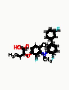 CCC(Oc1ccc(C)c(N(C)c2cc(-c3cccc(F)c3)ccc2F)c1F)C(=O)O